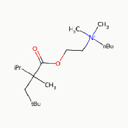 CCCC[N+](C)(C)CCOC(=O)C(C)(CC(C)(C)C)C(C)C